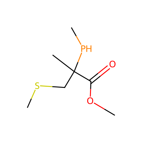 COC(=O)C(C)(CSC)PC